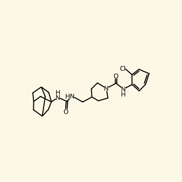 O=C(NCC1CCN(C(=O)Nc2ccccc2Cl)CC1)NC12CC3CC(CC(C3)C1)C2